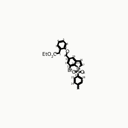 CCOC(=O)Cc1ccccc1OCc1cc(Br)c2c(ccn2S(=O)(=O)c2ccc(C)cc2)c1